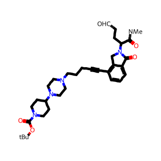 CNC(=O)C(CCC=O)N1Cc2c(C#CCCCN3CCN(C4CCN(C(=O)OC(C)(C)C)CC4)CC3)cccc2C1=O